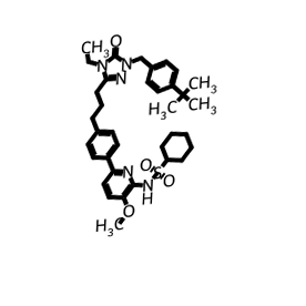 CCn1c(CCCc2ccc(-c3ccc(OC)c(NS(=O)(=O)C4CCCCC4)n3)cc2)nn(Cc2ccc(C(C)(C)C)cc2)c1=O